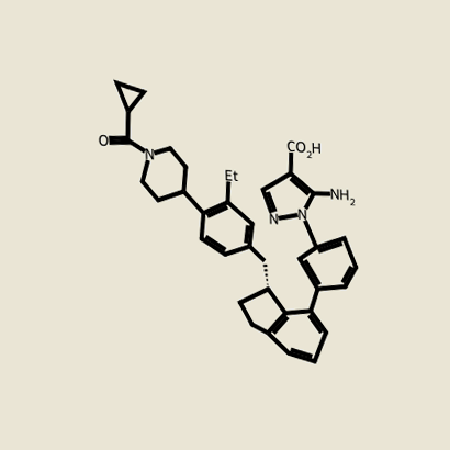 CCc1cc(C[C@H]2CCc3cccc(-c4cccc(-n5ncc(C(=O)O)c5N)c4)c32)ccc1C1CCN(C(=O)C2CC2)CC1